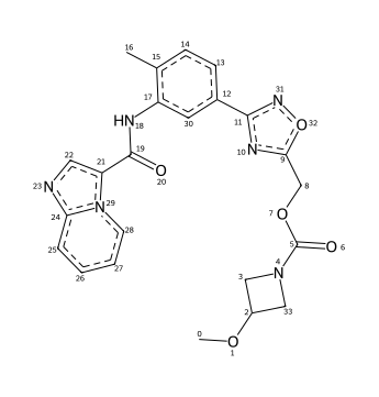 COC1CN(C(=O)OCc2nc(-c3ccc(C)c(NC(=O)c4cnc5ccccn45)c3)no2)C1